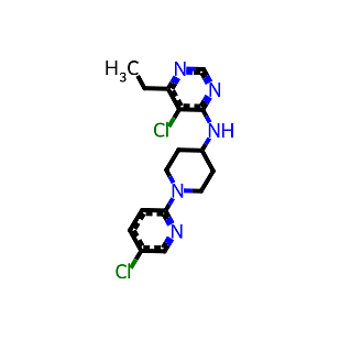 CCc1ncnc(NC2CCN(c3ccc(Cl)cn3)CC2)c1Cl